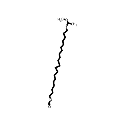 COC(C)OCCCCCCCCCCCCCCCCCCCCOC=O